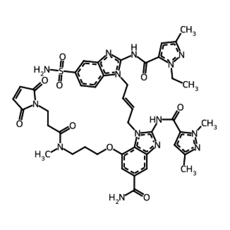 CCn1nc(C)cc1C(=O)Nc1nc2cc(S(N)(=O)=O)ccc2n1C/C=C/Cn1c(NC(=O)c2cc(C)nn2C)nc2cc(C(N)=O)cc(OCCCN(C)C(=O)CCN3C(=O)C=CC3=O)c21